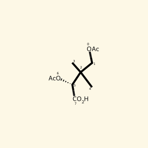 CC(=O)OCC(C)(C)[C@@H](OC(C)=O)C(=O)O